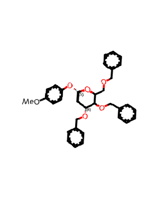 COc1ccc(O[C@H]2C[C@@H](OCc3ccccc3)C(OCc3ccccc3)C(COCc3ccccc3)O2)cc1